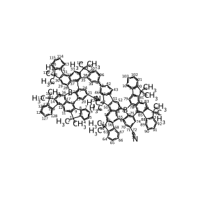 CC1(C)c2ccccc2-c2c1cc1c3c(cc4c1c2-c1cc(C#N)cc2c1B4c1cc4c(c5cc6c(c-2c15)-c1cc(-c2ccc5c(c2)C(C)(C)c2c-5cc5c7c(c8c(cc27)C(C)(C)c2ccccc2-8)-c2cc(C#N)cc7c2B5c2cc5c(c8cc9c(c-7c28)-c2ccccc2C9(C)C)C(C)(C)c2ccccc2-5)ccc1C6(C)C)-c1ccccc1C4(C)C)C(C)(C)c1ccccc1-3